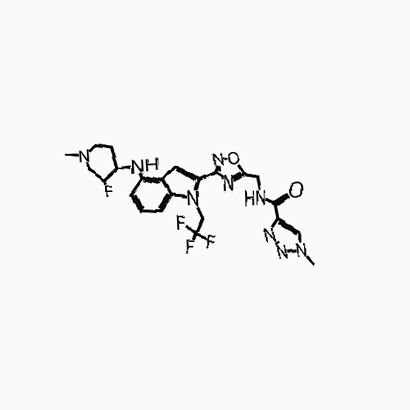 CN1CC[C@@H](Nc2cccc3c2cc(-c2noc(CNC(=O)c4cn(C)nn4)n2)n3CC(F)(F)F)[C@@H](F)C1